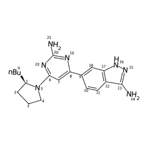 CCCC[C@@H]1CCCN1c1cc(-c2ccc3c(N)n[nH]c3c2)nc(N)n1